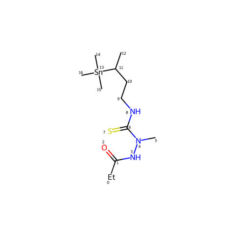 CCC(=O)NN(C)C(=S)NCC[CH](C)[Sn]([CH3])([CH3])[CH3]